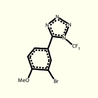 COc1ccc(-c2nnnn2C(F)(F)F)cc1Br